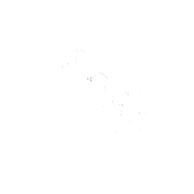 CC(C)=CCN1CCN(CC(=O)N2c3ccccc3C(=O)Nc3cccnc32)CC1